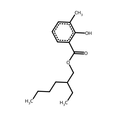 CCCCC(CC)COC(=O)c1cccc(C)c1O